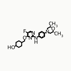 C[C@@H]1CN(c2ccc(Nc3ncc(F)c(OCC4CCC(O)CC4)n3)cc2)C[C@H](C)O1